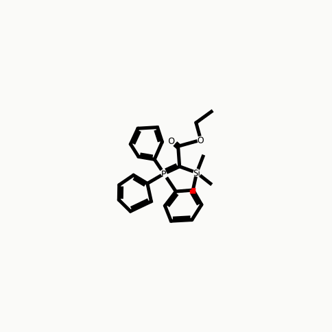 CCOC(=O)C([Si](C)(C)C)=P(c1ccccc1)(c1ccccc1)c1ccccc1